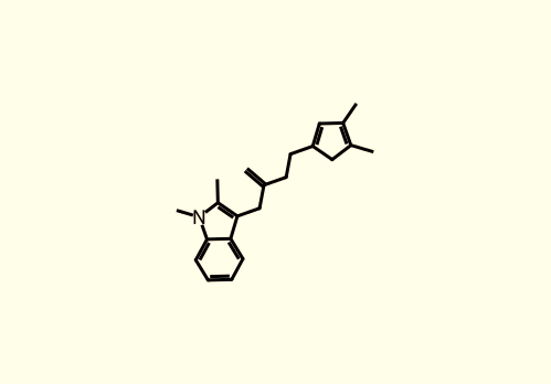 C=C(CCC1=CC(C)=C(C)C1)Cc1c(C)n(C)c2ccccc12